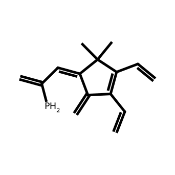 C=CC1=C(C=C)C(C)(C)/C(=C/C(=C)P)C1=C